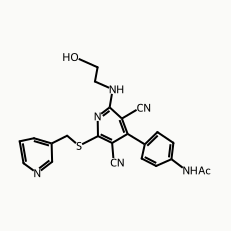 CC(=O)Nc1ccc(-c2c(C#N)c(NCCO)nc(SCc3cccnc3)c2C#N)cc1